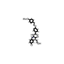 COc1ccc(CCOc2ccc(C(=O)N/C(=C/c3ccc(Cl)cc3)C(=O)NCCO)cc2)cc1